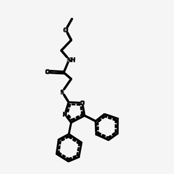 COCCNC(=O)CSc1nc(-c2ccccc2)c(-c2ccccc2)o1